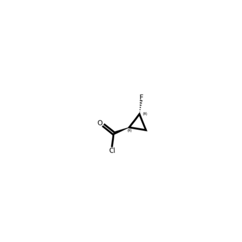 O=C(Cl)[C@@H]1C[C@H]1F